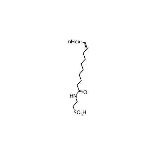 CCCCCC/C=C\CCCCCCCC(=O)NCCS(=O)(=O)O